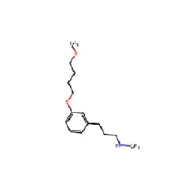 CNCCCc1cccc(OCCCCOC)c1